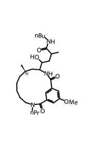 CCCCNC(=O)C(C)CC(O)C1C[C@H](C)CCCCCN(CCC)C(=O)c2cc(OC)cc(c2)C(=O)N1